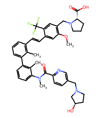 COc1cc(/C=C/c2cccc(-c3cccc(N(C)C(=O)c4ccc(CN5CC[C@@H](O)C5)cn4)c3C)c2C)c(C(F)(F)F)cc1CN1CCC[C@H]1C(=O)O